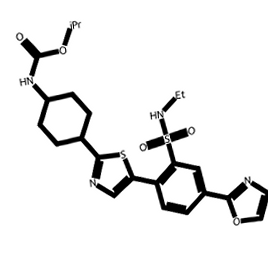 CCNS(=O)(=O)c1cc(-c2ncco2)ccc1-c1cnc(C2CCC(NC(=O)OC(C)C)CC2)s1